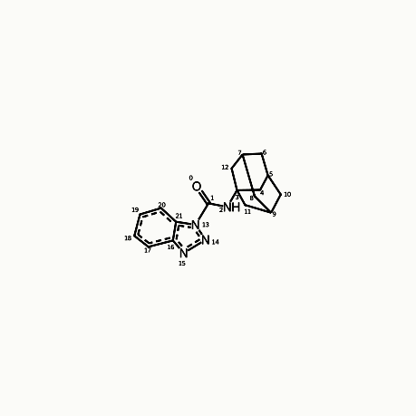 O=C(NC12CC3CC(CC(C3)C1)C2)n1nnc2ccccc21